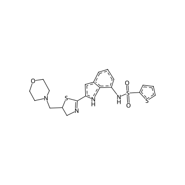 O=S(=O)(Nc1cccc2cc(C3=NCC(CN4CCOCC4)S3)[nH]c12)c1cccs1